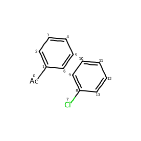 CC(=O)c1ccccc1.Clc1ccccc1